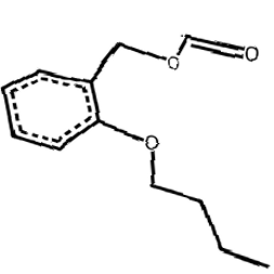 CCCCOc1ccccc1CO[C]=O